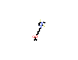 C=C(C)C(=O)OCCCCCCn1ccc(=S)n(CC)c1=S